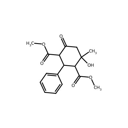 COC(=O)C1C(=O)CC(C)(O)C(C(=O)OC)C1c1ccccc1